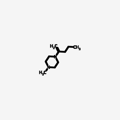 C=C(CCC)N1CCN(C)CC1